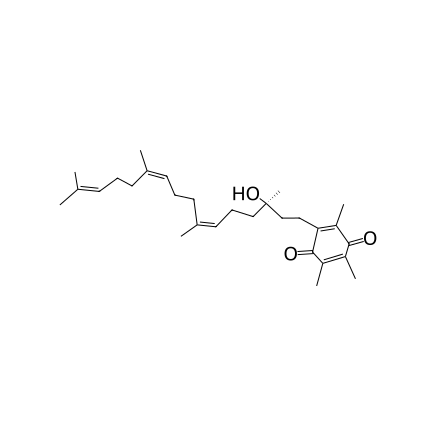 CC(C)=CCCC(C)=CCCC(C)=CCC[C@@](C)(O)CCC1=C(C)C(=O)C(C)=C(C)C1=O